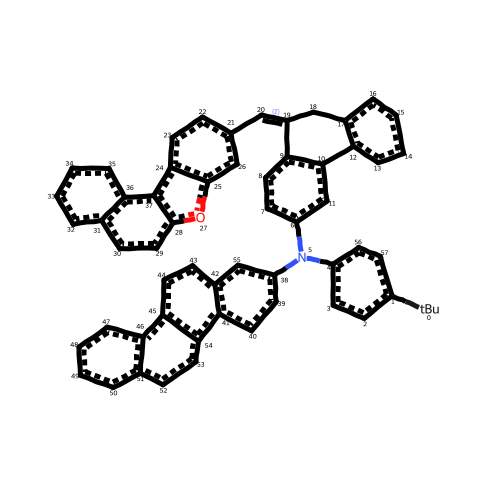 CC(C)(C)c1ccc(N(c2ccc3c(c2)-c2ccccc2C/C3=C/c2ccc3c(c2)oc2ccc4ccccc4c23)c2ccc3c(ccc4c5ccccc5ccc34)c2)cc1